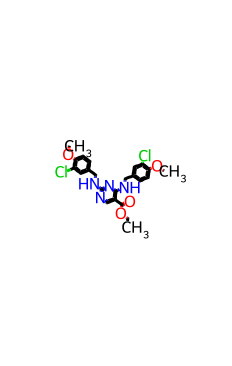 CCOC(=O)c1cnc(NCc2ccc(OC)c(Cl)c2)nc1NCc1ccc(OC)c(Cl)c1